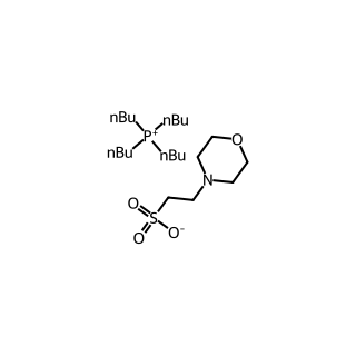 CCCC[P+](CCCC)(CCCC)CCCC.O=S(=O)([O-])CCN1CCOCC1